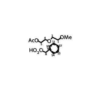 COCCOCCOC(C)=O.O=C(O)Cc1ccccc1